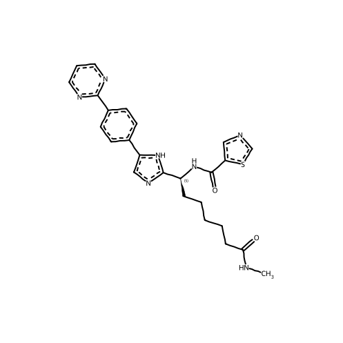 CNC(=O)CCCCC[C@H](NC(=O)c1cncs1)c1ncc(-c2ccc(-c3ncccn3)cc2)[nH]1